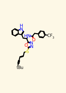 CC(C)(C)C#CC=CCSc1nnc(C(Cc2c[nH]c3ccccc23)NC(=O)Cc2ccc(C(F)(F)F)cc2)o1